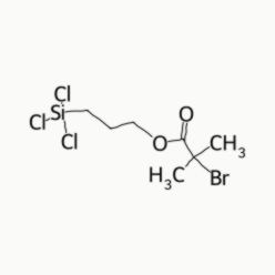 CC(C)(Br)C(=O)OCCC[Si](Cl)(Cl)Cl